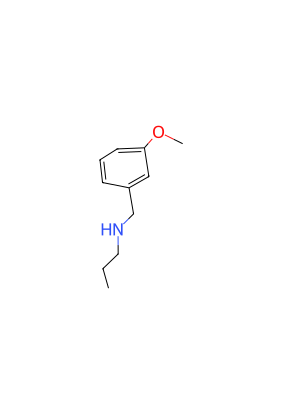 CCCNCc1cccc(OC)c1